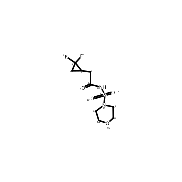 O=C(CC1CC1(F)F)NS(=O)(=O)N1CCOCC1